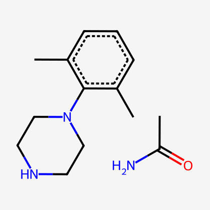 CC(N)=O.Cc1cccc(C)c1N1CCNCC1